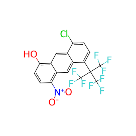 O=[N+]([O-])c1ccc(O)c2cc3c(Cl)ccc(C(C(F)(F)F)(C(F)(F)F)C(F)(F)F)c3cc12